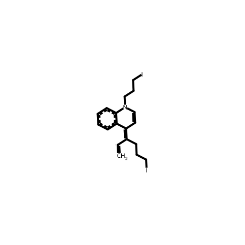 C=[C]C(CCCI)=C1C=CN(CCCI)c2ccccc21